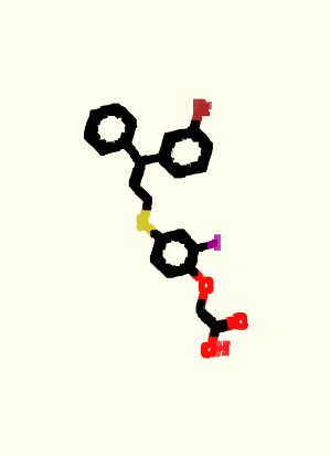 O=C(O)COc1ccc(SCC=C(c2ccccc2)c2cccc(Br)c2)cc1I